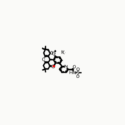 COc1ccc(-c2cccc(C(=O)NS(C)(=O)=O)n2)c(C)c1C1C2=C(CC(C)(C)CC2=O)OC2=C1C(=O)CC(C)(C)C2.[K]